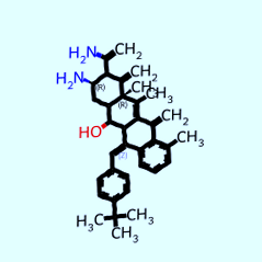 C=C1C2=C(C)[C@@]3(C)C(=C)C(C(=C)N)[C@H](N)CC3C(O)C2/C(=C/c2ccc(C(C)(C)C)cc2)c2cccc(C)c21